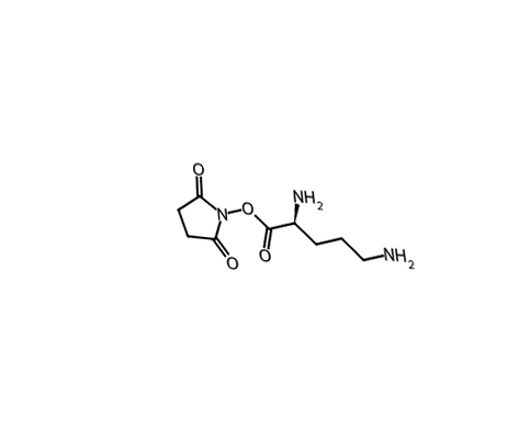 NCCC[C@H](N)C(=O)ON1C(=O)CCC1=O